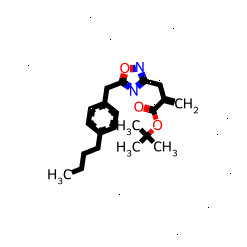 C=C(Cc1noc(Cc2ccc(CCCC)cc2)n1)C(=O)OC(C)(C)C